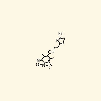 CCc1nc(CCCOC2=C(C)C(=NO)C(N)C(C)=C2C)cs1